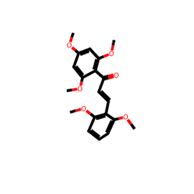 COc1cc(OC)c(C(=O)/C=C/c2c(OC)cccc2OC)c(OC)c1